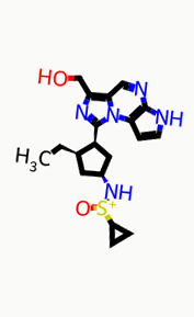 CC[C@@H]1C[C@H](N[S+]([O-])C2CC2)C[C@@H]1c1nc(CO)c2cnc3[nH]ccc3n12